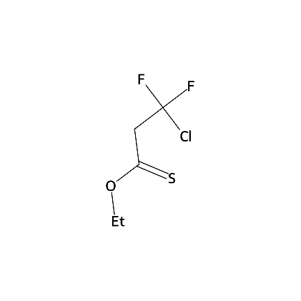 CCOC(=S)CC(F)(F)Cl